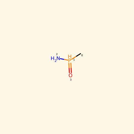 C[PH](N)=O